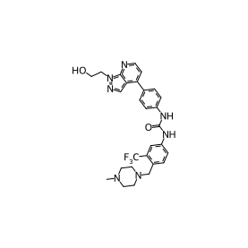 CN1CCN(Cc2ccc(NC(=O)Nc3ccc(-c4ccnc5c4cnn5CCO)cc3)cc2C(F)(F)F)CC1